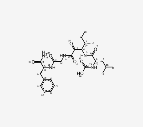 CC[C@H](C)C(NC(=O)[C@H](CC(C)C)NC(=O)O)C(=O)C(=O)NCC(=O)N[C@@H](Cc1cccnc1)C(N)=O